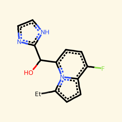 CCc1ccc2c(F)ccc(C(O)c3ncc[nH]3)n12